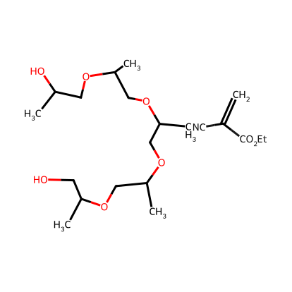 C=C(C#N)C(=O)OCC.CC(O)COC(C)COC(C)COC(C)COC(C)CO